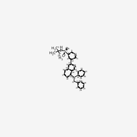 CC(C)(C)NS(=O)(=O)c1cncc(-c2cc3cccc(N(Cc4ccccn4)c4ccccc4)c3cn2)c1